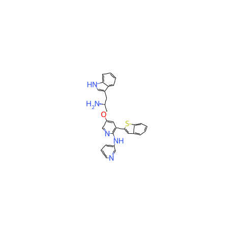 N[C@H](COc1cnc(Nc2cccnc2)c(-c2cc3ccccc3s2)c1)Cc1c[nH]c2ccccc12